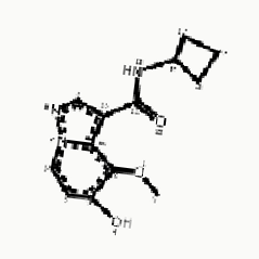 COc1c(O)ccn2ncc(C(=O)NC3CCC3)c12